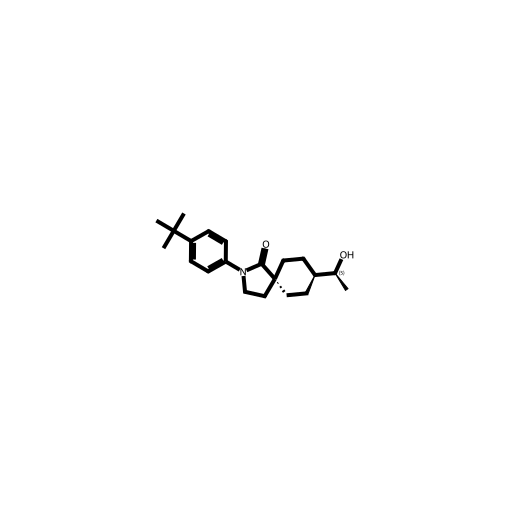 C[C@H](O)[C@H]1CC[C@@]2(CCN(c3ccc(C(C)(C)C)cc3)C2=O)CC1